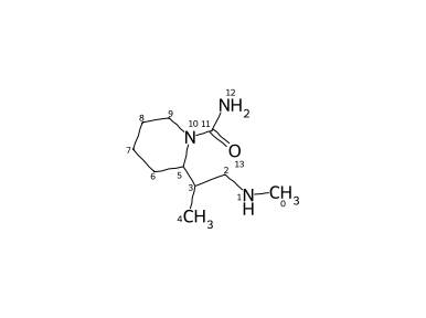 CNCC(C)C1CCCCN1C(N)=O